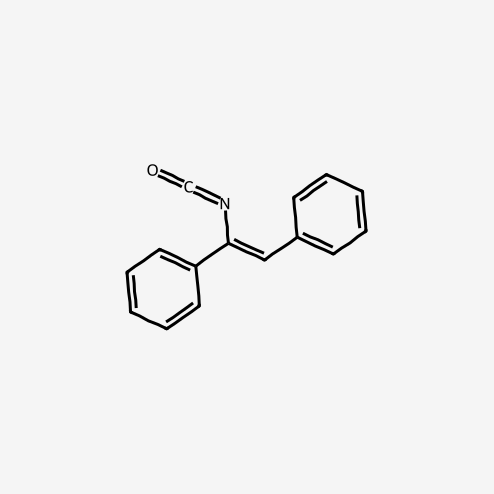 O=C=NC(=Cc1ccccc1)c1ccccc1